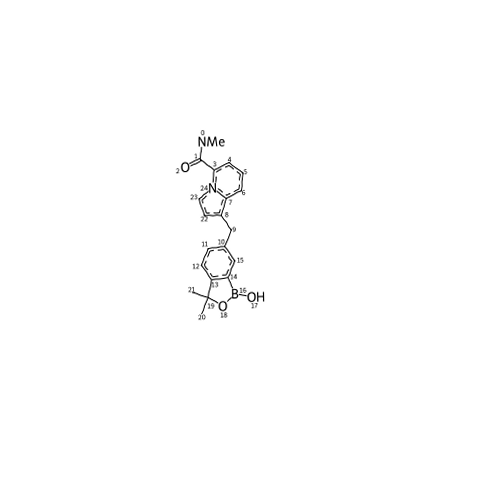 CNC(=O)c1cccc2c(Cc3ccc4c(c3)B(O)OC4(C)C)ccn12